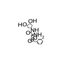 N[C@@H](CS(=O)(=O)Cc1ccccc1)C(=O)NC1CC(O)C(O)C1